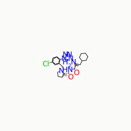 N[C@H](CC1CCCCC1)C(=O)NC(=O)[C@@H]1CCCN1Cc1cc(Cl)ccc1-n1cnnn1